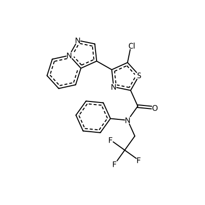 O=C(c1nc(-c2cnn3ccccc23)c(Cl)s1)N(CC(F)(F)F)c1ccccc1